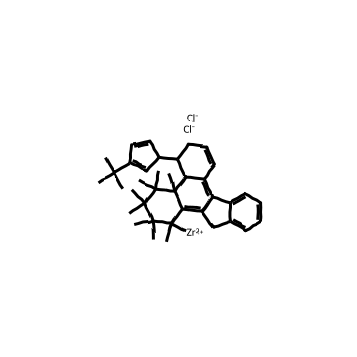 CC(C)(C)C1=CC(C2CC=CC3=C4C(=C5[C](C)([Zr+2])C(C)(C)C(C)(C)C(C)(C)C5(C)C32)Cc2ccccc24)C=C1.[Cl-].[Cl-]